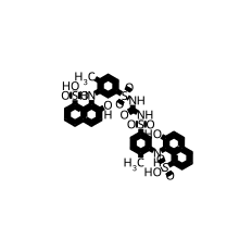 Cc1ccc(S(=O)(=O)NC(=O)NS(=O)(=O)c2ccc(C)c(Nc3c(O)ccc4cccc(S(=O)(=O)O)c34)c2)cc1Nc1c(O)ccc2cccc(S(=O)(=O)O)c12